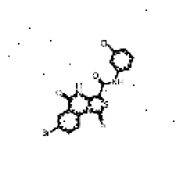 O=C(Nc1cccc(Cl)c1)c1sc(=S)n2c1[nH]c(=O)c1cc(Br)ccc12